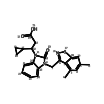 Cc1cc(C)c2c(Cn3c(=O)n(C(CC(=O)O)C4CC4)c4ccccc43)nsc2c1